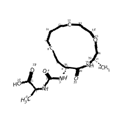 CC(NC(=O)N[C@@H]1CCCCCCCCOC[C@H](C)NC1=O)C(=O)O